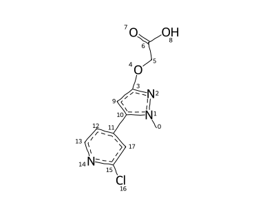 Cn1nc(OCC(=O)O)cc1-c1ccnc(Cl)c1